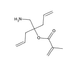 C=CCC(CN)(CC=C)OC(=O)C(=C)C